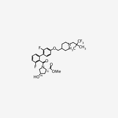 COC(=O)[C@@H]1C[C@@H](O)CN1C(=O)c1c(F)cccc1-c1ccc(OCC2CCN(CC(C)(C)C(F)(F)F)CC2)cc1F